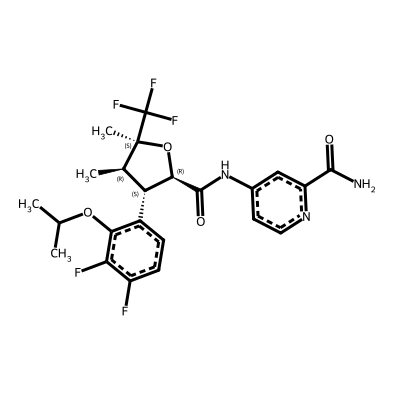 CC(C)Oc1c([C@@H]2[C@@H](C)[C@@](C)(C(F)(F)F)O[C@H]2C(=O)Nc2ccnc(C(N)=O)c2)ccc(F)c1F